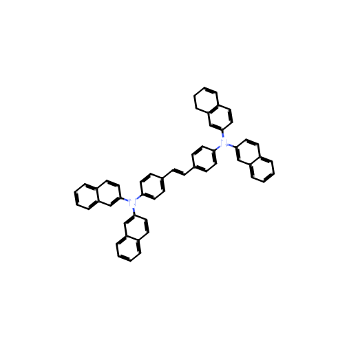 C1=Cc2ccc(N(c3ccc(/C=C/c4ccc(N(c5ccc6ccccc6c5)c5ccc6ccccc6c5)cc4)cc3)c3ccc4ccccc4c3)cc2CC1